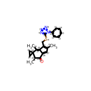 CC1=C(CSc2nnnn2-c2ccccc2)C2=C(C)C3(CC3)[C@H](C)C(=O)C2=C1